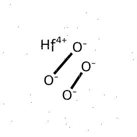 [Hf+4].[O-][O-].[O-][O-]